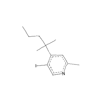 CCCC(C)(C)c1cc(C)ncc1I